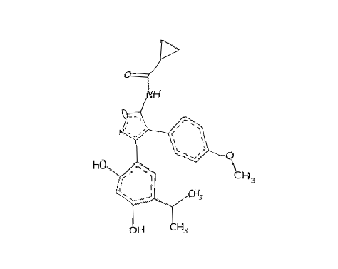 COc1ccc(-c2c(-c3cc(C(C)C)c(O)cc3O)noc2NC(=O)C2CC2)cc1